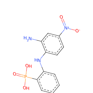 Nc1cc([N+](=O)[O-])ccc1Nc1ccccc1P(=O)(O)O